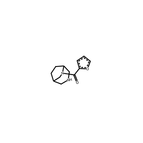 O=C(c1ccco1)N1CC2CCC1CNC2